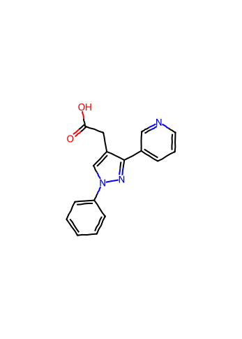 O=C(O)Cc1cn(-c2ccccc2)nc1-c1cccnc1